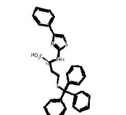 O=C(O)[C@H](CCSC(c1ccccc1)(c1ccccc1)c1ccccc1)Nc1nc(-c2ccccc2)cs1